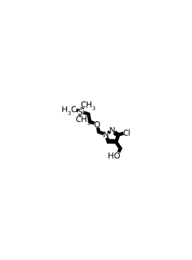 C[Si](C)(C)CCOCn1cc(CO)c(Cl)n1